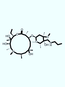 CCCNC[C@@]1(O)[C@H](C)O[C@@H](O[C@H]2[C@H](C)C[C@](C)(O)C[C@@H](C)CN(C)[C@H](C)[C@@H](O)[C@](C)(O)[C@@H](CC)OC(=O)[C@@H]2C)C[C@@]1(C)OC